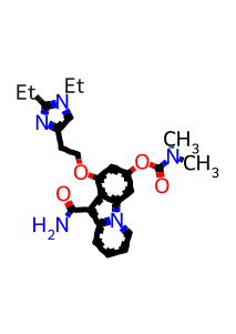 CCc1nc(CCOc2cc(OC(=O)N(C)C)cc3c2c(C(N)=O)c2ccccn23)cn1CC